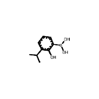 CC(C)c1cccc(B(O)O)c1O